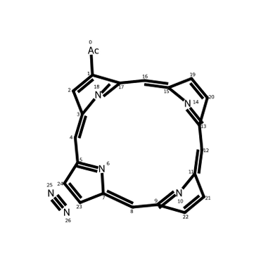 CC(=O)C1=CC2=CC3=NC(=CC4=NC(=CC5=NC(=CC1=N2)C=C5)C=C4)C=C3.N#N